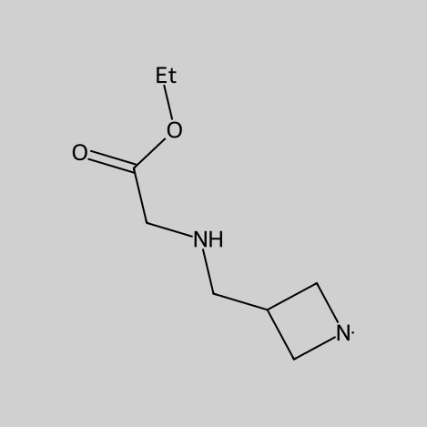 CCOC(=O)CNCC1C[N]C1